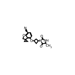 C[C@H]1NC(=O)N(C2CC(Oc3ccc(C#N)c4c3C3(CC3)CO4)C2)C1=O